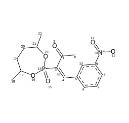 CC(=O)/C(=C\c1cccc([N+](=O)[O-])c1)P1(=O)OC(C)CCC(C)O1